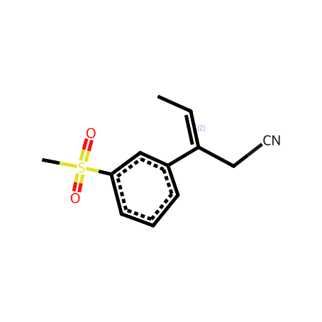 C/C=C(/CC#N)c1cccc(S(C)(=O)=O)c1